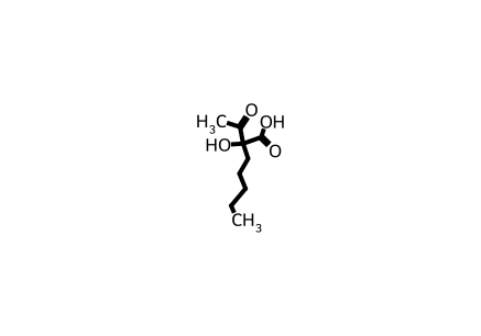 CCCCCC(O)(C(C)=O)C(=O)O